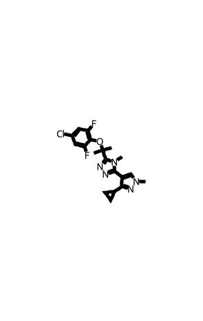 Cn1cc(-c2nnc(C(C)(C)Oc3c(F)cc(Cl)cc3F)n2C)c(C2CC2)n1